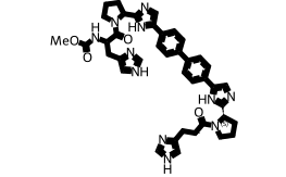 COC(=O)NC(Cc1c[nH]cn1)C(=O)N1CCCC1c1ncc(-c2ccc(-c3ccc(-c4cnc([C@@H]5CCCN5C(=O)[CH]Cc5c[nH]cn5)[nH]4)cc3)cc2)[nH]1